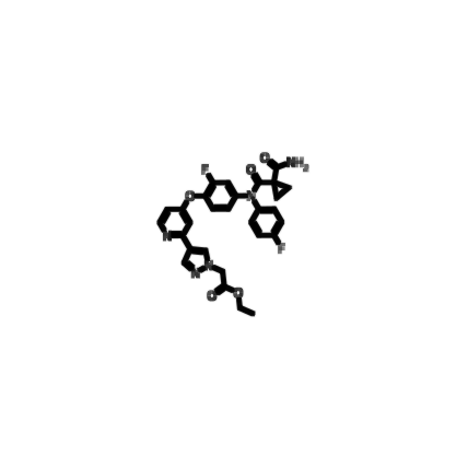 CCOC(=O)Cn1cc(-c2cc(Oc3ccc(N(C(=O)C4(C(N)=O)CC4)c4ccc(F)cc4)cc3F)ccn2)cn1